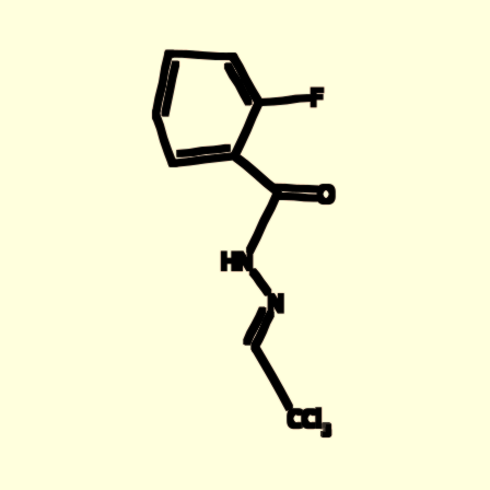 O=C(NN=CC(Cl)(Cl)Cl)c1ccccc1F